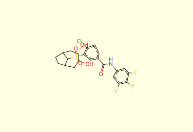 O=C(Nc1cc(F)c(F)c(F)c1)c1ccc(Cl)c(S(=O)(=O)C2C3CCC2C[C@H](O)C(O)C3)c1